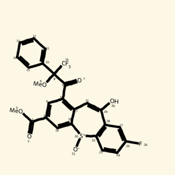 COC(=O)c1cc(C(=O)C(OC)(c2ccccc2)C(F)(F)F)c2c(c1)[S+]([O-])c1ccc(F)cc1C(O)=C2